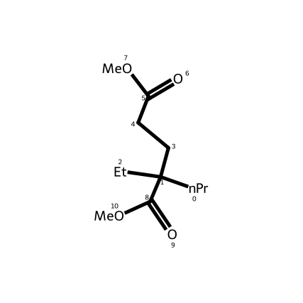 CCCC(CC)(CCC(=O)OC)C(=O)OC